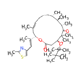 C/C1=C/CCC[C@H](C)[C@@H](C)[C@H](C)C(=O)C(C)(C)[C@@H](O[Si](C)(C)C(C)(C)C)CC(=O)O[C@H](/C(C)=C/c2csc(C)n2)C1